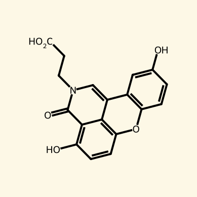 O=C(O)CCn1cc2c3c(ccc(O)c3c1=O)Oc1ccc(O)cc1-2